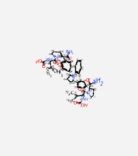 CC(C)[C@H](NC(=O)O)C(=O)N1CCC[C@@]1(C(N)=O)c1ccc([C@H]2CC[C@H](c3ccc([C@]4(C(N)=O)CCCN4C(=O)[C@@H](NC(=O)O)C(C)C)cc3)N2c2ccccc2)cc1